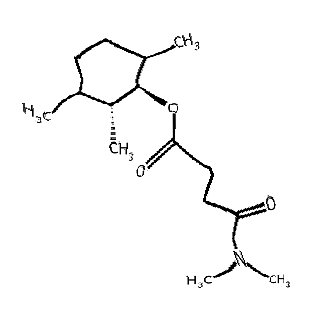 CC1CCC(C)[C@@H](OC(=O)CCC(=O)N(C)C)[C@@H]1C